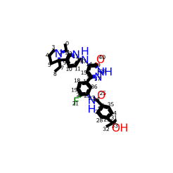 CCN1CCCC1(CC)c1ccc(Nc2cc(-c3ccc(F)c(NC(=O)c4ccc(C(C)(C)O)cc4)c3)n[nH]c2=O)nc1